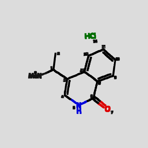 CNC(C)c1c[nH]c(=O)c2ccccc12.Cl